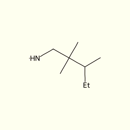 CCC(C)C(C)(C)C[NH]